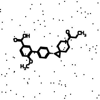 CCC(=O)N1CCC2(CC1)C[C@@H]2c1ccc(-c2cc(C(=O)O)ccc2OC)cc1